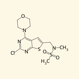 CN(Cc1cc2c(N3CCOCC3)nc(Cl)nc2s1)S(C)(=O)=O